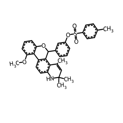 COc1cccc2c1-c1ccc3c(c1C(c1cccc(OS(=O)(=O)c4ccc(C)cc4)c1)O2)C(C)=CC(C)(C)N3